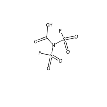 O=C(O)N(S(=O)(=O)F)S(=O)(=O)F